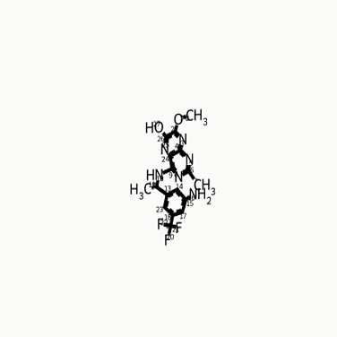 COc1nc2nc(C)nc(N[C@H](C)c3cc(N)cc(C(F)(F)F)c3)c2nc1O